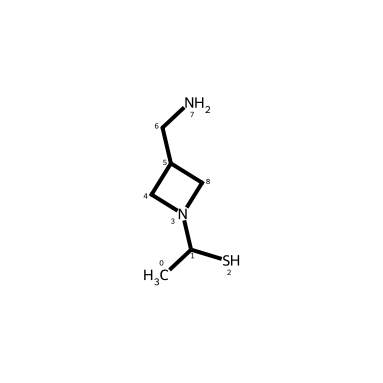 CC(S)N1CC(CN)C1